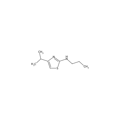 CCCNc1nc(C(C)C)cs1